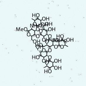 CO[C@@H]1OC(CO)[C@@H](O[C@@H]2O[C@@H](CO)[C@H](O)C(O[C@@H]3OC(CO)[C@@H](O[C@@H]4O[C@@H](CO)[C@H](O)C(O)C4O[C@@H]4OC(C)[C@@H](O)C(O)C4O)C(O[C@@H]4OC(C)[C@@H](O)[C@H](O)C4O)C3NC(C)=O)C2O)C(O[C@@H]2OC(C)[C@@H](O)C(O)C2O)C1NC(C)=O